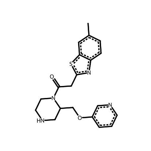 Cc1ccc2nc(CC(=O)N3CCNCC3COc3cccnc3)sc2c1